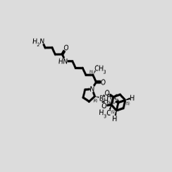 C[C@@H](CCCCNC(=O)CCCN)C(=O)N1CCC[C@H]1B1OC2C[C@@H]3C[C@@H](C3(C)C)[C@]2(C)O1